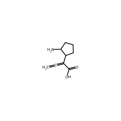 C=C=C(C(=O)O)C1CCCC1N